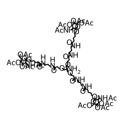 CC(=O)NC1C(OC(C)=O)[C@@H](OC(C)=O)C(COC(C)=O)O[C@H]1OCCCCC(=O)NCCCNC(=O)CCOCC(N)(COCCC(=O)NCCCNC(=O)CCCCO[C@@H]1OC(COC(C)=O)[C@H](OC(C)=O)C(OC(C)=O)C1NC(C)=O)COCCC(=O)NCCCNC(=O)CCCCO[C@@H]1OC(COC(C)=O)[C@H](OC(C)=O)C(OC(C)=O)C1NC(C)=O